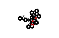 c1ccc2c(c1)-c1ccccc1C21c2ccccc2-c2cccc(N(c3cccc4c3ccc3c5ccccc5ccc43)c3cccc4c3c3ccccc3n4-c3ccc4c(c3)sc3ccccc34)c21